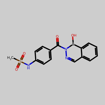 CS(=O)(=O)Nc1ccc(C(=O)N2N=Cc3ccccc3B2O)cc1